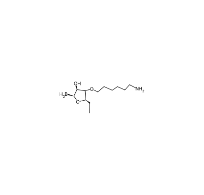 B[C@@H]1O[C@H](CC)C(OCCCCCCN)[C@@H]1O